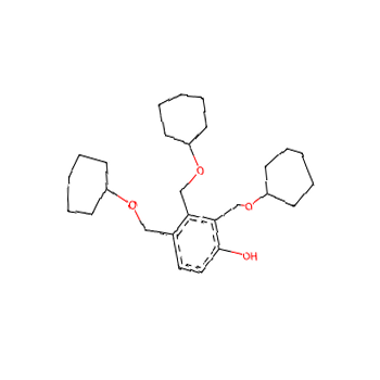 Oc1ccc(COC2CCCCC2)c(COC2CCCCC2)c1COC1CCCCC1